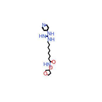 N=C(NCCCCCCCC(=O)NOC1CCOC1)Nc1ccncc1